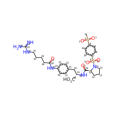 CS(=O)(=O)c1ccc(S(=O)(=O)N2CCC[C@H]2C(=O)N[C@@H](Cc2ccc(NC(=O)CCCCNC(=N)N)cc2)C(=O)O)cc1